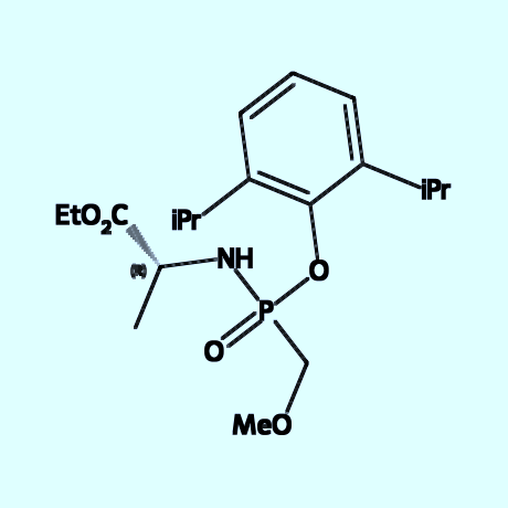 CCOC(=O)[C@@H](C)NP(=O)(COC)Oc1c(C(C)C)cccc1C(C)C